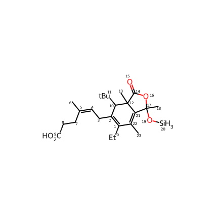 CCC1=C(CC=C(C)CCC(=O)O)C(C(C)(C)C)C2(C)C(=O)OC(C)(O[SiH3])C2=C1C